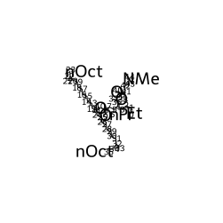 CC/C=C\CC(C(CCC)CC(=O)OC(CCCCCCCCC1CC1CCCCCCCC)CCCCCCCCC1CC1CCCCCCCC)C(C)OC(=O)CCCNC